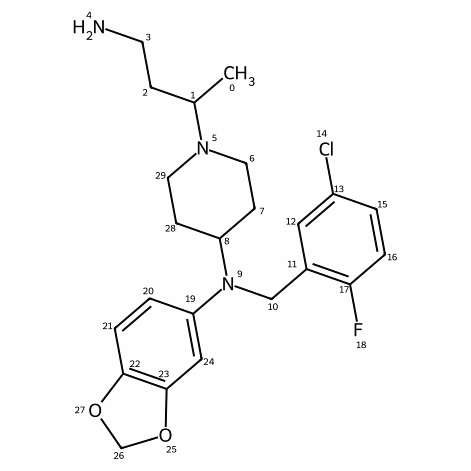 CC(CCN)N1CCC(N(Cc2cc(Cl)ccc2F)c2ccc3c(c2)OCO3)CC1